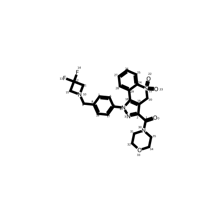 O=C(c1nn(-c2ccc(CN3CC(F)(F)C3)cc2)c2c1CS(=O)(=O)c1ccccc1-2)N1CCOCC1